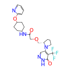 O=C(COC[C@@H]1CCCN1c1cn[nH]c(=O)c1C(F)(F)F)NC1CCC(Oc2ccccn2)CC1